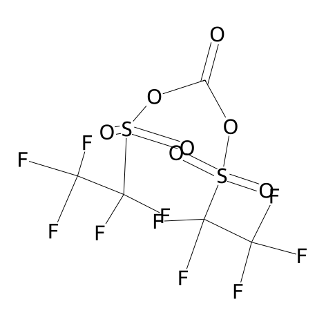 O=C(OS(=O)(=O)C(F)(F)C(F)(F)F)OS(=O)(=O)C(F)(F)C(F)(F)F